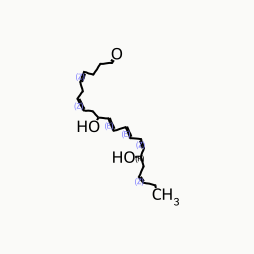 CC/C=C\C[C@@H](O)\C=C/C=C/C=C/C(O)C/C=C\C/C=C\CCC=O